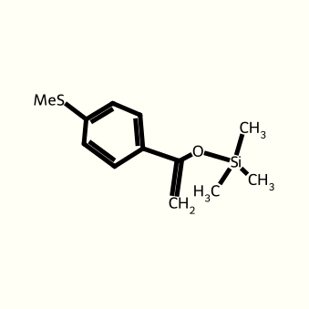 C=C(O[Si](C)(C)C)c1ccc(SC)cc1